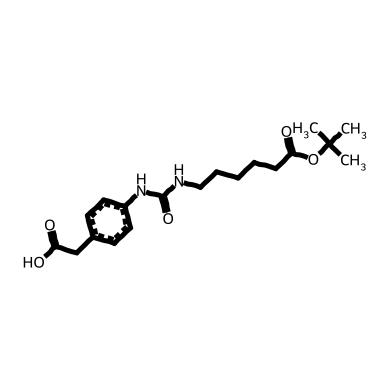 CC(C)(C)OC(=O)CCCCCNC(=O)Nc1ccc(CC(=O)O)cc1